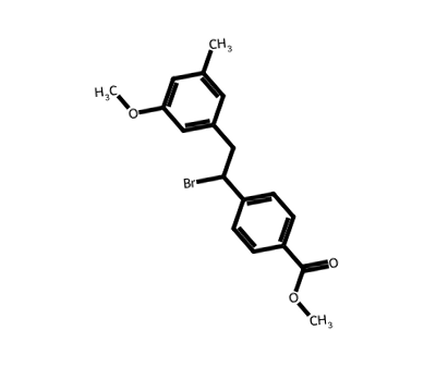 COC(=O)c1ccc(C(Br)Cc2cc(C)cc(OC)c2)cc1